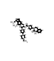 Cc1cc(C[C@@H](OC(=O)N2CCC(N3CCc4ccccc4NC3=O)CC2)C(=O)N2CCC(N3CCN(C)CC3)CC2)cc2cnn(C)c12